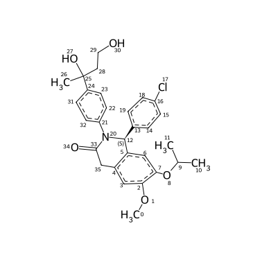 COc1cc2c(cc1OC(C)C)[C@H](c1ccc(Cl)cc1)N(c1ccc(C(C)(O)CCO)cc1)C(=O)C2